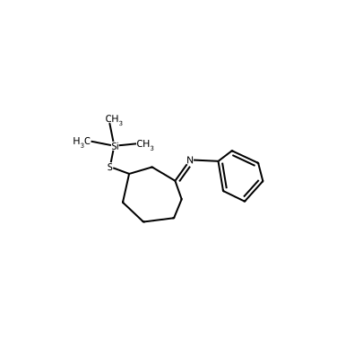 C[Si](C)(C)SC1CCCC/C(=N\c2ccccc2)C1